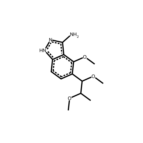 COc1c(C(OC)C(C)OC)ccc2[nH]nc(N)c12